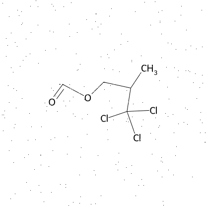 CC(CO[C]=O)C(Cl)(Cl)Cl